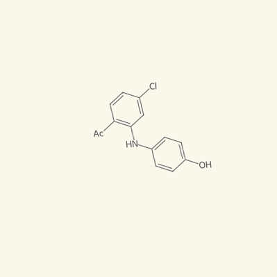 CC(=O)c1ccc(Cl)cc1Nc1ccc(O)cc1